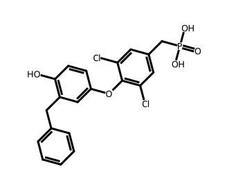 O=P(O)(O)Cc1cc(Cl)c(Oc2ccc(O)c(Cc3ccccc3)c2)c(Cl)c1